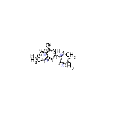 C/C=C\C(=C/C)c1cc(=C/C)/c(=C\C)c(=O)[nH]1